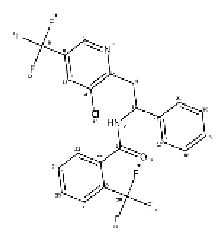 O=C(NC(Cc1ncc(C(F)(F)F)cc1Cl)c1ccccc1)c1ccccc1C(F)(F)F